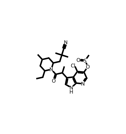 CCC1CC(C)CC(CC(C)(C)C#N)N1C(=O)C(C)c1c[nH]c2ncc(OS(C)=O)c(Cl)c12